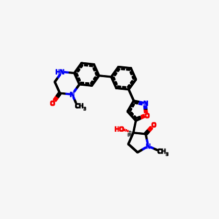 CN1CC[C@@](O)(c2cc(-c3cccc(-c4ccc5c(c4)N(C)C(=O)CN5)c3)no2)C1=O